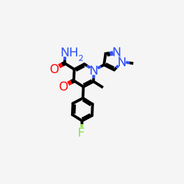 Cc1c(-c2ccc(F)cc2)c(=O)c(C(N)=O)cn1-c1cnn(C)c1